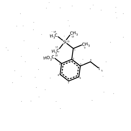 CC(c1c(CI)cccc1C(=O)O)[Si](C)(C)C